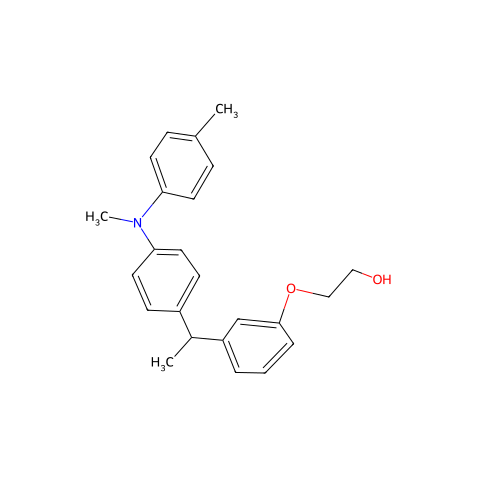 Cc1ccc(N(C)c2ccc(C(C)c3cccc(OCCO)c3)cc2)cc1